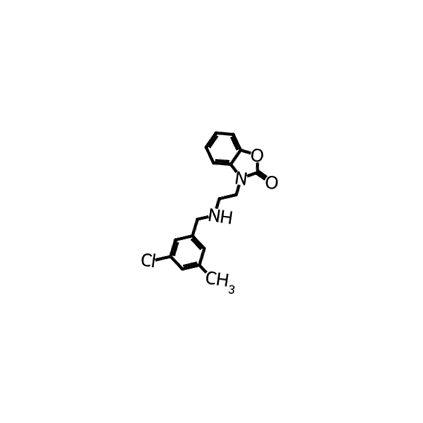 Cc1cc(Cl)cc(CNCCn2c(=O)oc3ccccc32)c1